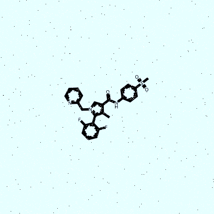 Cc1c(C(=O)Nc2ccc(S(C)(=O)=O)cc2)cn(Cc2ccccn2)c1-c1c(F)cccc1F